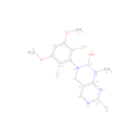 COc1cc(OC)c(Cl)c(N2Cc3cnc(Cl)nc3N(C)C2O)c1Cl